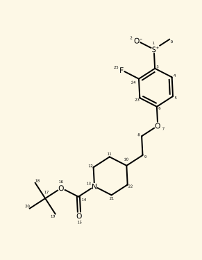 C[S+]([O-])c1ccc(OCCC2CCN(C(=O)OC(C)(C)C)CC2)cc1F